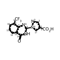 O=C(O)c1cnn(-c2nc3c(C(F)(F)F)cccc3c(=O)[nH]2)c1